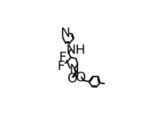 Cc1ccc(COC(=O)N2CCC(CNc3ccncc3)C(F)(F)C2)cc1